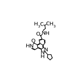 CC(C)CCNC(=O)c1ccc2c(c1)c1c(=O)[nH]ccc1c1[nH]c(C3CCCC3)nc21